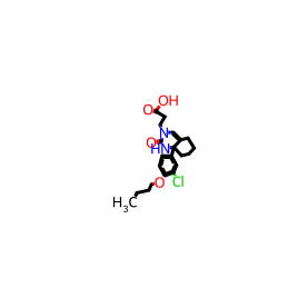 CCCCOc1ccc(C23CCCCC2=CN(CCC(=O)O)C(=O)N3)cc1Cl